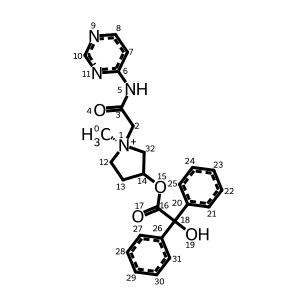 C[N@@+]1(CC(=O)Nc2ccncn2)CCC(OC(=O)C(O)(c2ccccc2)c2ccccc2)C1